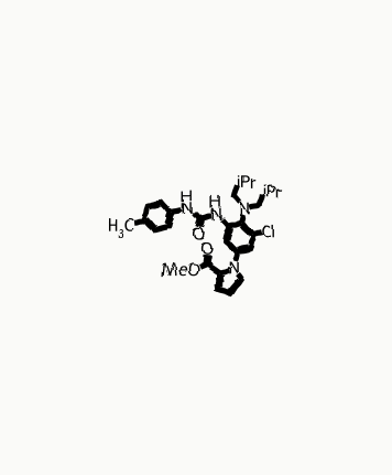 COC(=O)c1cccn1-c1cc(Cl)c(N(CC(C)C)CC(C)C)c(NC(=O)Nc2ccc(C)cc2)c1